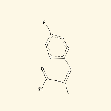 CC(=Cc1ccc(F)cc1)C(=O)C(C)C